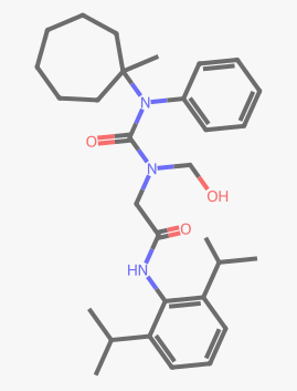 CC(C)c1cccc(C(C)C)c1NC(=O)CN(CO)C(=O)N(c1ccccc1)C1(C)CCCCCC1